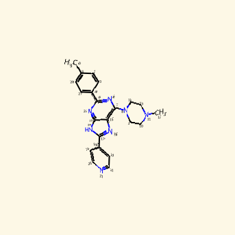 Cc1ccc(-c2nc(N3CCN(C)CC3)c3nc(-c4ccncc4)[nH]c3n2)cc1